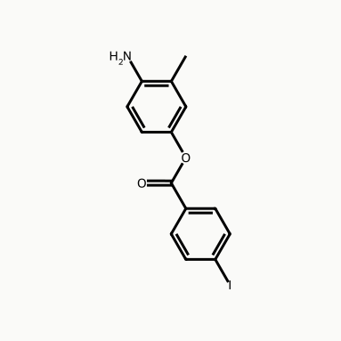 Cc1cc(OC(=O)c2ccc(I)cc2)ccc1N